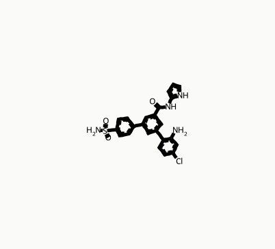 Nc1cc(Cl)ccc1-c1cc(C(=O)Nc2ccc[nH]2)cc(-c2ccc(S(N)(=O)=O)cc2)c1